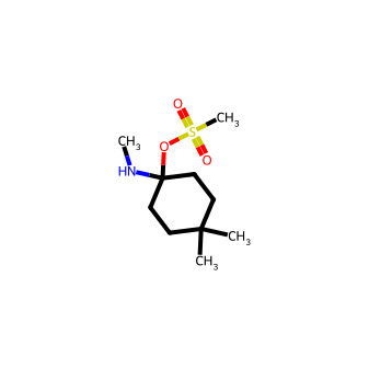 CNC1(OS(C)(=O)=O)CCC(C)(C)CC1